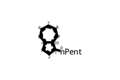 CCCCCc1ccc2cccccc1-2